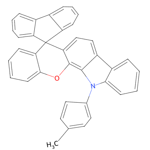 Cc1ccc(-n2c3ccccc3c3ccc4c(c32)Oc2ccccc2C42c3ccccc3-c3ccccc32)cc1